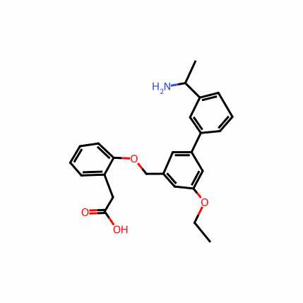 CCOc1cc(COc2ccccc2CC(=O)O)cc(-c2cccc(C(C)N)c2)c1